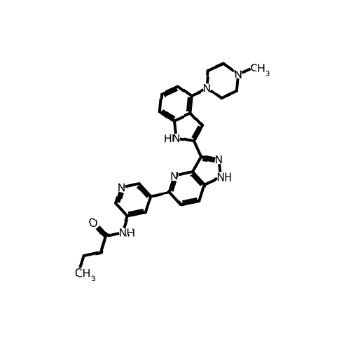 CCCC(=O)Nc1cncc(-c2ccc3[nH]nc(-c4cc5c(N6CCN(C)CC6)cccc5[nH]4)c3n2)c1